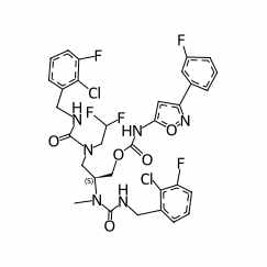 CN(C(=O)NCc1cccc(F)c1Cl)[C@H](COC(=O)Nc1cc(-c2cccc(F)c2)no1)CN(CC(F)F)C(=O)NCc1cccc(F)c1Cl